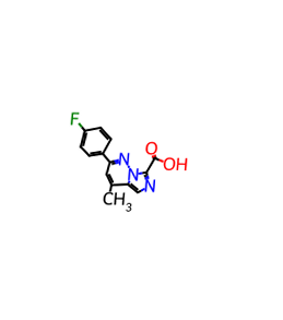 Cc1cc(-c2ccc(F)cc2)nn2c(C(=O)O)ncc12